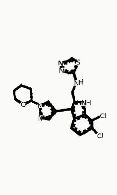 Clc1ccc2c(-c3cnn(C4CCCCO4)c3)c(CNc3nncs3)[nH]c2c1Cl